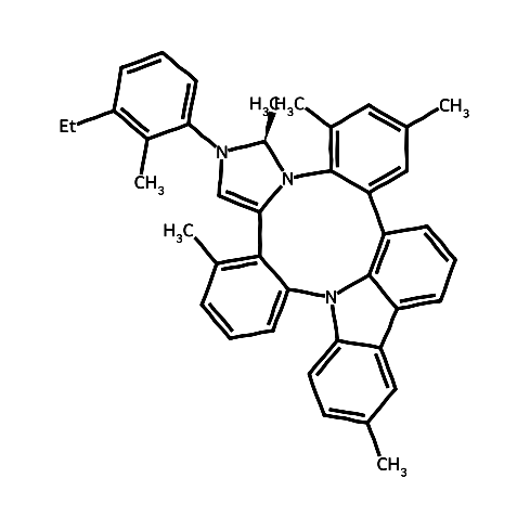 CCc1cccc(N2C=c3c4c(C)cccc4n4c5ccc(C)cc5c5cccc(c6cc(C)cc(C)c6n3[C@@H]2C)c54)c1C